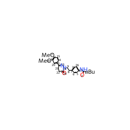 CCCCC(=O)Nc1ccc(CCN2N=C(c3ccc(OC)c(OC)c3)CCC2=O)cc1